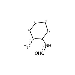 CN1CCCCC1NC=O